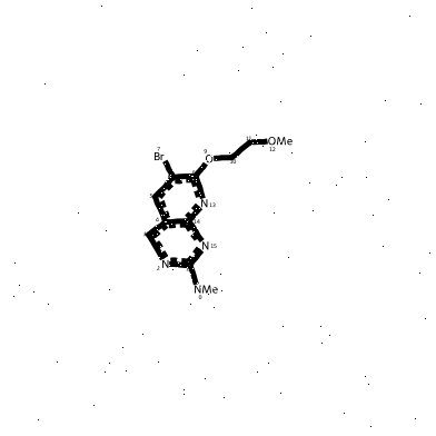 CNc1ncc2cc(Br)c(OCCOC)nc2n1